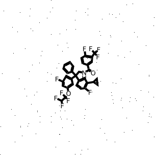 O=C(NCC(c1ccccc1)(c1cc(F)cc(OC(F)(F)C(F)F)c1)c1ccc(F)c(C2CC2)c1)c1ccc(F)c(C(F)(F)F)c1